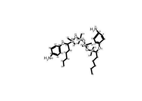 CCCCCC(Oc1ccc(N)cc1)[Si](C)(C)O[Si](C)(C)O[Si](C)(C)O[Si](C)(C)C(CCCCC)Oc1ccc(N)cc1